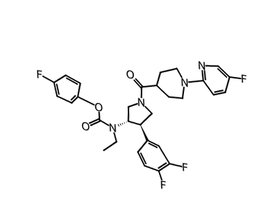 CCN(C(=O)Oc1ccc(F)cc1)[C@@H]1CN(C(=O)C2CCN(c3ccc(F)cn3)CC2)C[C@H]1c1ccc(F)c(F)c1